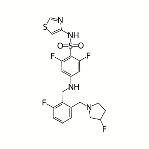 O=S(=O)(Nc1cscn1)c1c(F)cc(NCc2c(F)cccc2CN2CCC(F)C2)cc1F